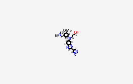 CCN(CC)Cc1cc(OC)cc(N(CCCO)c2ccc3ncc(-c4cnn(C)c4)nc3c2)c1